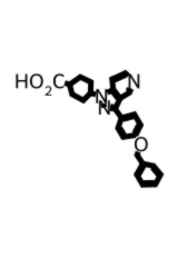 O=C(O)C1CCC(n2nc(-c3ccc(OCc4ccccc4)cc3)c3cnccc32)CC1